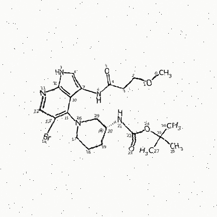 COCCC(=O)Nc1c[nH]c2ncc(Br)c(N3CCC[C@@H](NC(=O)OC(C)(C)C)C3)c12